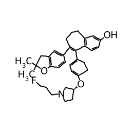 CC1(C)Cc2cc(C3=C(C4=CC=C(O[C@H]5CCN(CCCF)C5)CC4)c4ccc(O)cc4CCC3)ccc2O1